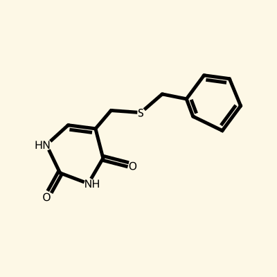 O=c1[nH]cc(CSCc2ccccc2)c(=O)[nH]1